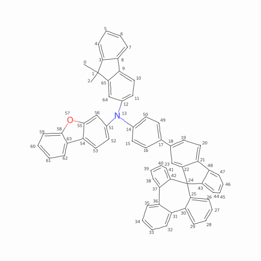 CC1(C)c2ccccc2-c2ccc(N(c3ccc(-c4ccc5c(c4)C4(c6ccccc6-c6ccccc6-c6ccccc64)c4ccccc4-5)cc3)c3ccc4c(c3)oc3ccccc34)cc21